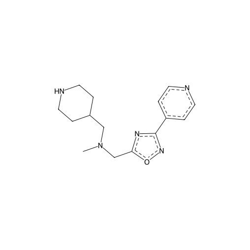 CN(Cc1nc(-c2ccncc2)no1)CC1CCNCC1